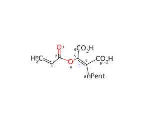 C=CC(=O)O/C(C(=O)O)=C(\CCCCC)C(=O)O